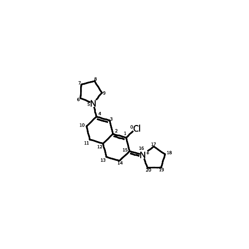 ClC1=C2C=C(N3CCCC3)CCC2CCC1=[N+]1CCCC1